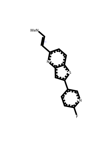 CN/C=C/c1ccc2sc(-c3ccc(F)nc3)cc2n1